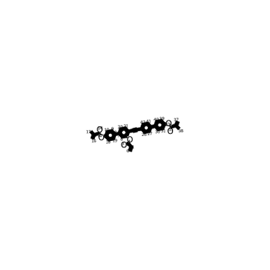 C=CC(=O)Oc1cc(-c2ccc(OC(=O)C(=C)C)cc2)ccc1C#Cc1ccc(-c2ccc(OC(=O)C(=C)C)cc2)cc1